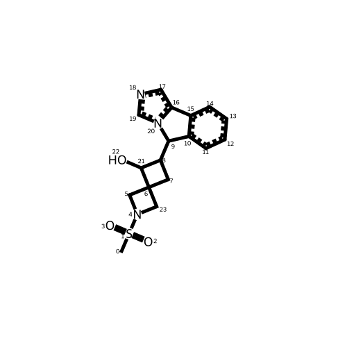 CS(=O)(=O)N1CC2(CC(C3c4ccccc4-c4cncn43)C2O)C1